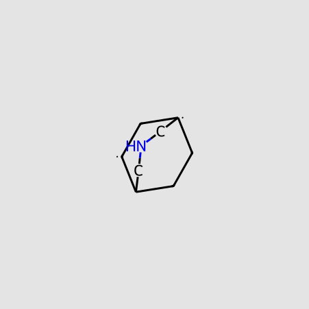 [CH]1C[C]2CCC1CNC2